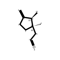 C=C1CC[C@](C)(CC=O)[C@@H]1C